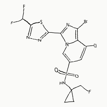 O=S(=O)(NC1(CF)CC1)c1cc(Cl)c2c(Br)nc(-c3nnc(C(F)F)s3)n2c1